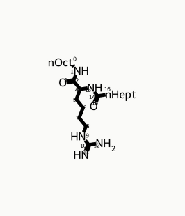 CCCCCCCCNC(=O)C(CCCCNC(=N)N)NC(=O)CCCCCCC